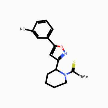 CNC(=S)N1CCCCC1c1cc(-c2cccc(C#N)c2)on1